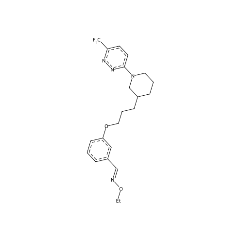 CCON=Cc1cccc(OCCCC2CCCN(c3ccc(C(F)(F)F)nn3)C2)c1